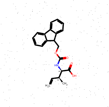 C=C[C@H](C)[C@@H](NC(=O)OCC1c2ccccc2-c2ccccc21)C(=O)O